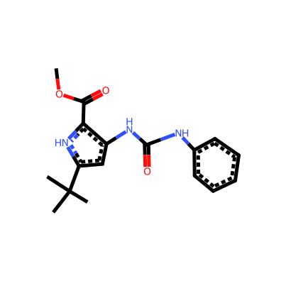 COC(=O)c1[nH]c(C(C)(C)C)cc1NC(=O)Nc1ccccc1